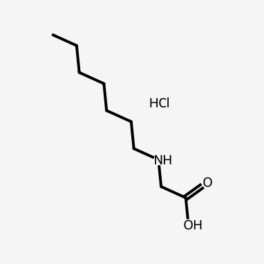 CCCCCCCNCC(=O)O.Cl